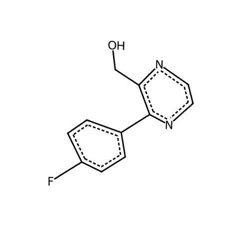 OCc1nccnc1-c1ccc(F)cc1